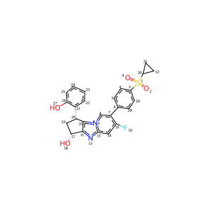 O=S(=O)(c1ccc(-c2cn3c4c(nc3cc2F)[C@H](O)C[C@@H]4c2ccccc2O)cc1)C1CC1